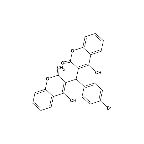 C=C1Oc2ccccc2C(O)=C1C(c1ccc(Br)cc1)c1c(O)c2ccccc2oc1=O